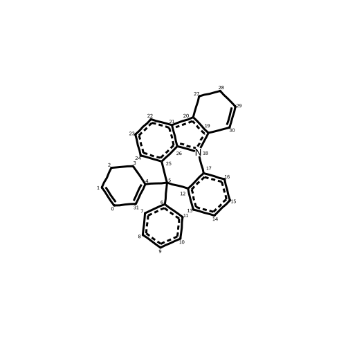 C1=CCCC(C2(c3ccccc3)c3ccccc3-n3c4c(c5cccc2c53)CCC=C4)=C1